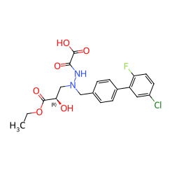 CCOC(=O)[C@H](O)CN(Cc1ccc(-c2cc(Cl)ccc2F)cc1)NC(=O)C(=O)O